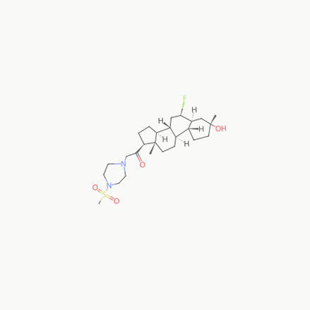 C[C@@]1(O)CC[C@@H]2[C@H]3CC[C@]4(C)[C@@H](C(=O)CN5CCN(S(C)(=O)=O)CC5)CC[C@H]4[C@@H]3C[C@@H](F)[C@H]2C1